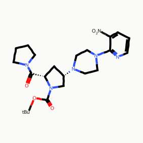 CC(C)(C)OC(=O)N1C[C@@H](N2CCN(c3ncccc3[N+](=O)[O-])CC2)C[C@H]1C(=O)N1CCCC1